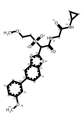 COCCS(=O)(=O)C(C(=O)NCC(=O)NC1CC1)c1nc2cc(-c3cccc(OC)c3)ccc2s1